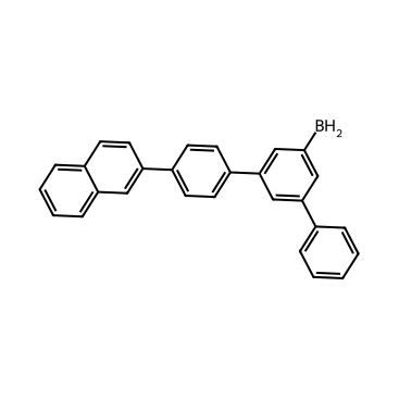 Bc1cc(-c2ccccc2)cc(-c2ccc(-c3ccc4ccccc4c3)cc2)c1